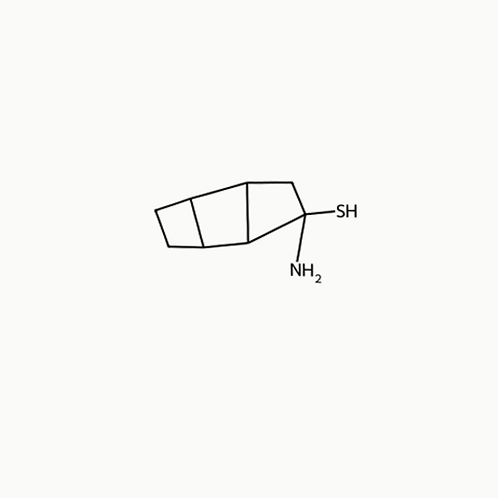 NC1(S)CC2C3CCC3C21